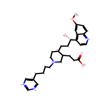 COc1ccc2nccc([C@@H](O)CCC3CCN(CCCCc4cncnc4)CC3CCC(=O)O)c2c1